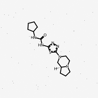 O=C(Nc1nnc(N2CCN3CCC[C@H]3C2)s1)NC1CCCC1